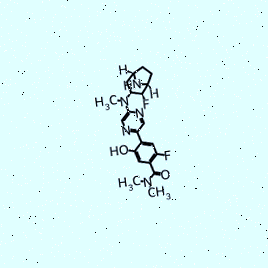 CN(C)C(=O)c1cc(O)c(-c2cnc(N(C)[C@H]3C[C@@H]4CC[C@@H](N4)[C@H]3F)cn2)cc1F